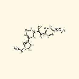 O=C(O)c1ccc(NC(=O)c2ccc[n+]([C@H]3CC[C@@H](CO)O3)c2)cc1